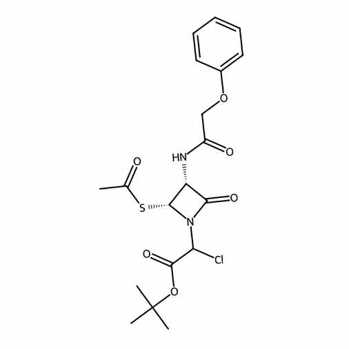 CC(=O)S[C@@H]1[C@H](NC(=O)COc2ccccc2)C(=O)N1C(Cl)C(=O)OC(C)(C)C